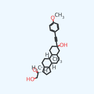 COc1ccc(C#CC2(O)CC[C@@]3(C)C(CC[C@H]4[C@@H]5CC[C@H](C(=O)CO)[C@@]5(C)CC[C@@H]43)C2)cc1